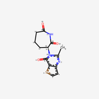 Cc1nc2ccsc2c(=O)n1[C@H]1CCCC(=O)NC1=O